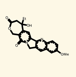 CCC1(O)CC(=O)OCc2c1cc1n(c2=O)Cc2cc3cc(OC)ccc3nc2-1